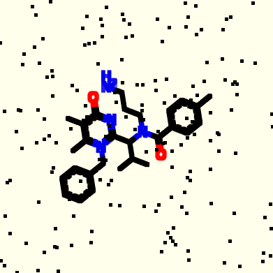 Cc1ccc(C(=O)N(CCCN)C(c2nc(=O)c(C)c(C)n2Cc2ccccc2)C(C)C)cc1